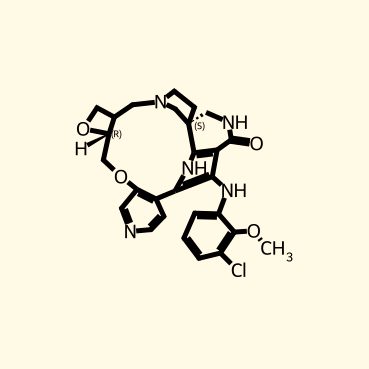 COc1c(Cl)cccc1Nc1c2[nH]c3c1C(=O)NC[C@]31CCN(CC3CO[C@H]3COc3cnccc3-2)C1